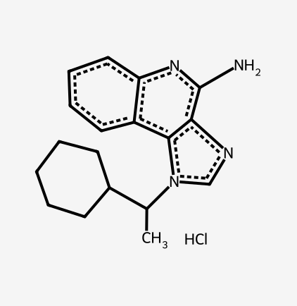 CC(C1CCCCC1)n1cnc2c(N)nc3ccccc3c21.Cl